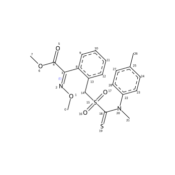 CO/N=C(/C(=O)OC)c1ccccc1CS(=O)(=O)C(=S)N(C)c1ccc(C)cc1